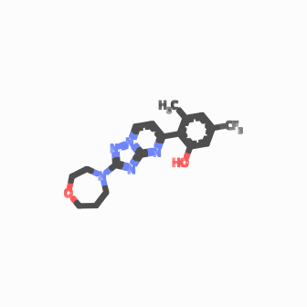 Cc1cc(C(F)(F)F)cc(O)c1-c1ccn2nc(N3CCCOCC3)nc2n1